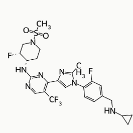 Cc1nc(-c2nc(N[C@H]3CCN(S(C)(=O)=O)C[C@H]3F)ncc2C(F)(F)F)cn1-c1ccc(CNC2CC2)cc1F